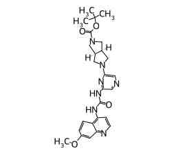 COc1ccc2c(NC(=O)Nc3cncc(N4C[C@H]5CN(C(=O)OC(C)(C)C)C[C@H]5C4)n3)ccnc2c1